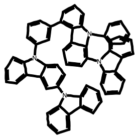 c1ccc(-n2c3cccc(-c4cccc(-n5c6ccccc6c6cc(-n7c8ccccc8c8ccccc87)ccc65)c4)c3c3cccc(-n4c5ccccc5c5ccccc54)c32)cc1